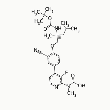 CC(C)C[C@@](C)(COc1ccc(-c2ccnc(N(C)C(=O)O)c2F)cc1C#N)NC(=O)OC(C)(C)C